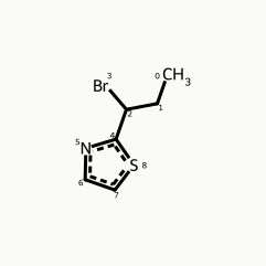 CCC(Br)c1nccs1